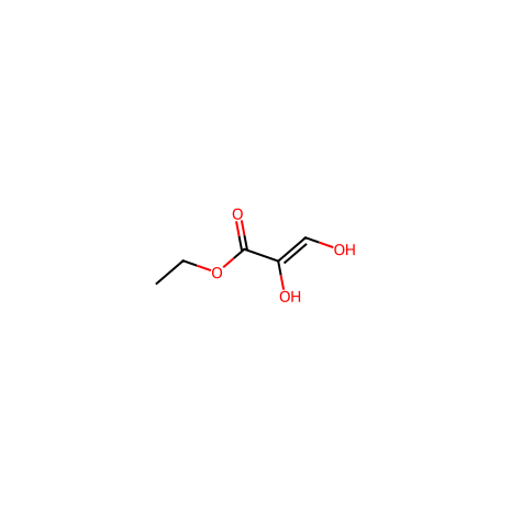 CCOC(=O)C(O)=CO